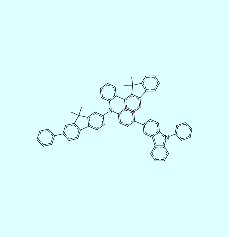 CC1(C)c2cc(-c3ccccc3)ccc2-c2ccc(N(c3ccc(-c4ccc5c(c4)c4ccccc4n5-c4ccccc4)cc3)c3ccccc3-c3cccc4c3C(C)(C)c3ccccc3-4)cc21